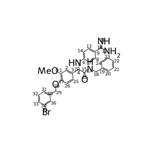 COc1cc([C@H](Nc2ccc(C(=N)N)cc2)C(=O)NCc2ccccc2)ccc1OCc1cccc(Br)c1